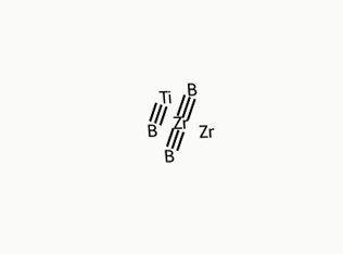 [B]#[Ti].[B]#[Zr]#[B].[Zr]